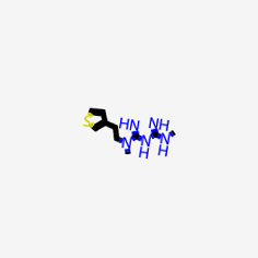 CNC(=N)NC(=N)N(C)CCc1ccsc1